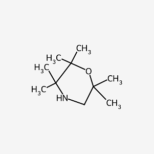 CC1(C)CNC(C)(C)C(C)(C)O1